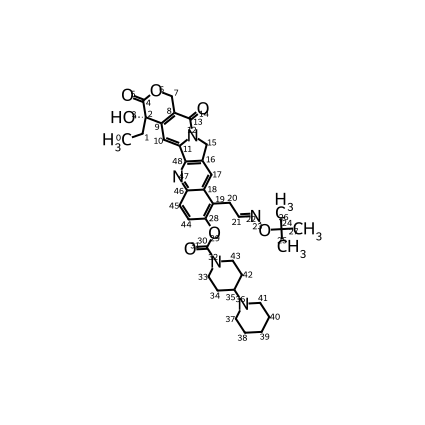 CC[C@@]1(O)C(=O)OCc2c1cc1n(c2=O)Cc2cc3c(C/C=N/OC(C)(C)C)c(OC(=O)N4CCC(N5CCCCC5)CC4)ccc3nc2-1